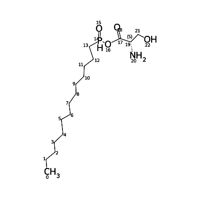 CCCCCCCCCCCCCC[PH](=O)OC(=O)[C@@H](N)CO